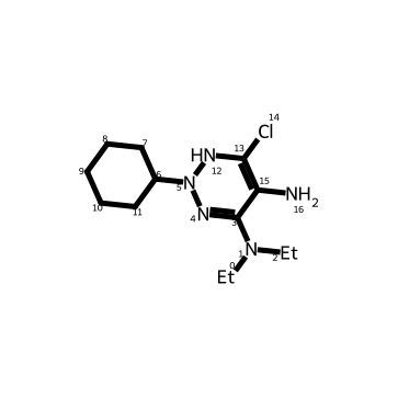 CCN(CC)C1=NN(C2CCCCC2)NC(Cl)=C1N